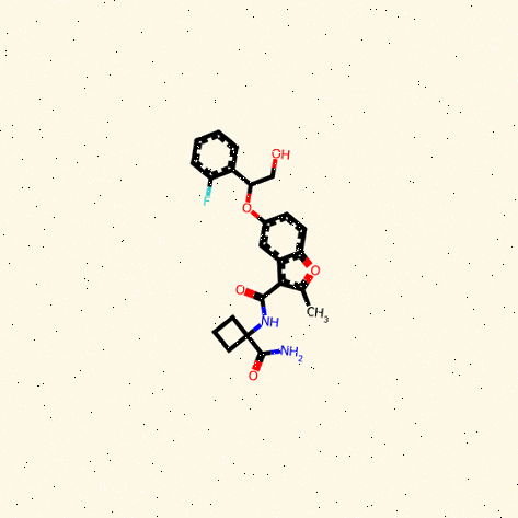 Cc1oc2ccc(OC(CO)c3ccccc3F)cc2c1C(=O)NC1(C(N)=O)CCC1